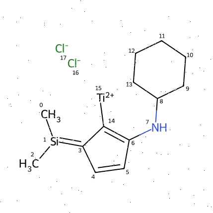 C[Si](C)=C1C=CC(NC2CCCCC2)=[C]1[Ti+2].[Cl-].[Cl-]